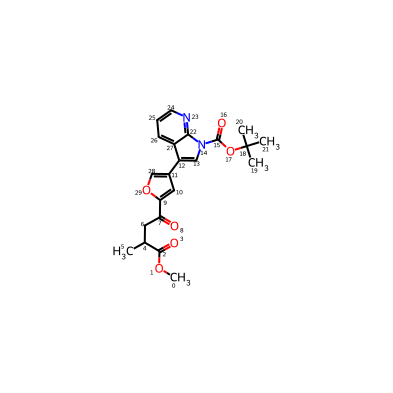 COC(=O)C(C)CC(=O)c1cc(-c2cn(C(=O)OC(C)(C)C)c3ncccc23)co1